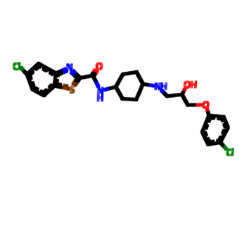 O=C(NC1CCC(NCC(O)COc2ccc(Cl)cc2)CC1)c1nc2cc(Cl)ccc2s1